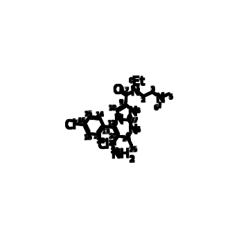 CCN(CCN(C)C)C(=O)c1cn2c(-c3ccc(Cl)cc3Cl)c(CN)c(C)nc2n1